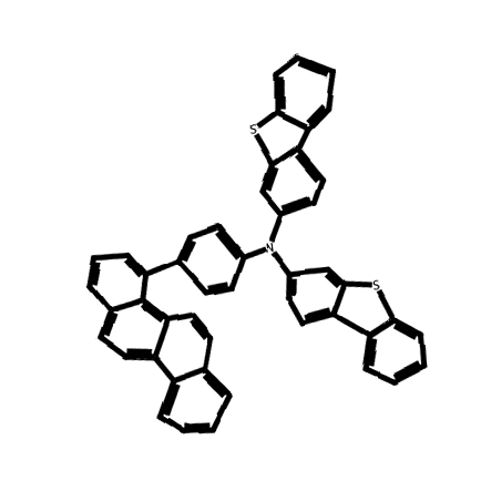 c1ccc2c(c1)ccc1c2ccc2cccc(-c3ccc(N(c4ccc5c(c4)sc4ccccc45)c4ccc5c(c4)sc4ccccc45)cc3)c21